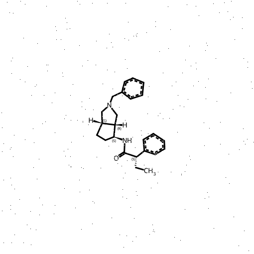 CC[C@H](C(=O)N[C@H]1CC[C@@H]2CN(Cc3ccccc3)C[C@@H]21)c1ccccc1